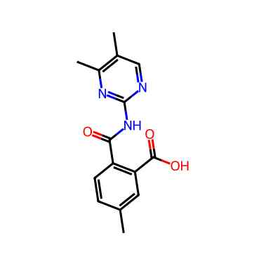 Cc1ccc(C(=O)Nc2ncc(C)c(C)n2)c(C(=O)O)c1